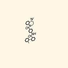 Cc1ccccc1-c1ccccc1C(=O)Nc1ccc(C(=O)N2CCCC(N(C)C)c3ccccc32)cc1